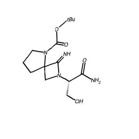 CC(C)(C)OC(=O)N1CCCC12CN([C@@H](CO)C(N)=O)C2=N